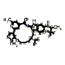 Cc1cc2cc(n1)-c1cnn(C)c1OCCC[C@@H](C(F)F)CN1/C(=N/C2=O)Nc2cc(N[C@@H](C)C(F)(F)F)ccc21